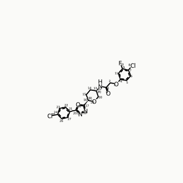 O=C(COc1ccc(Cl)c(F)c1)N[C@@H]1CC[C@H](c2nnc(-c3ccc(Cl)cc3)o2)OC1